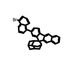 Brc1cccc2c(-c3ccc4c(c3)C3(c5cc6ccccc6cc5-4)C4CC5CC(C4)CC3C5)cccc12